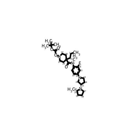 CCCC1(C(=O)N(C)c2ccc(N3CC[C@H](N4CCC[C@@H]4C)C3)cc2F)CCN(OC(=O)OC(C)(C)C)CC1